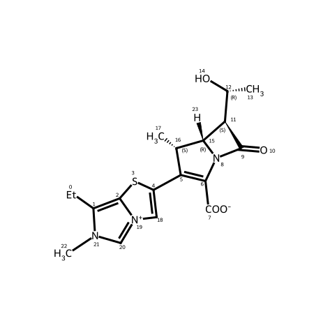 CCc1c2sc(C3=C(C(=O)[O-])N4C(=O)[C@H]([C@@H](C)O)[C@H]4[C@H]3C)c[n+]2cn1C